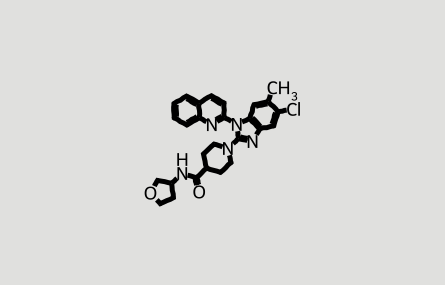 Cc1cc2c(cc1Cl)nc(N1CCC(C(=O)NC3CCOC3)CC1)n2-c1ccc2ccccc2n1